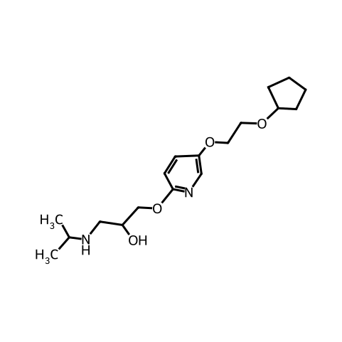 CC(C)NCC(O)COc1ccc(OCCOC2CCCC2)cn1